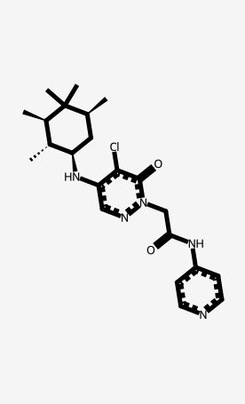 C[C@@H]1[C@@H](C)C(C)(C)[C@@H](C)C[C@H]1Nc1cnn(CC(=O)Nc2ccncc2)c(=O)c1Cl